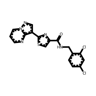 O=C(NCc1ccc(Cl)cc1Cl)c1csc(-c2cnn3cccnc23)n1